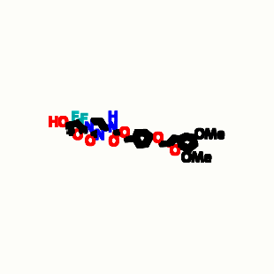 COc1cc(OC)c2oc(COc3ccc(COC(=O)Nc4ccn([C@@H]5O[CH][C@@H](O)C5(F)F)c(=O)n4)cc3)cc2c1